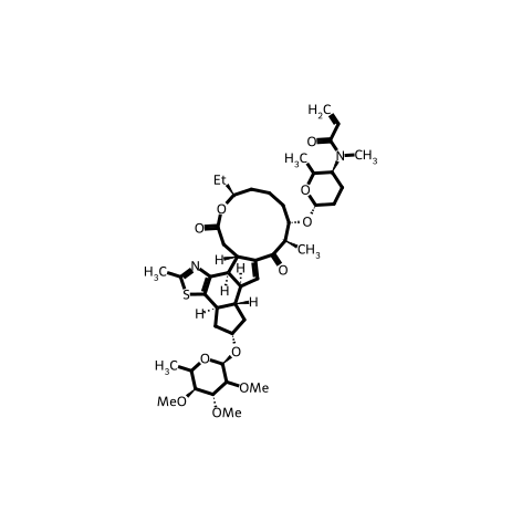 C=CC(=O)N(C)[C@H]1CC[C@H](O[C@H]2CCC[C@H](CC)OC(=O)C[C@@H]3C(=C[C@H]4[C@@H]5C[C@H](O[C@@H]6OC(C)[C@H](OC)[C@@H](OC)C6OC)C[C@H]5c5sc(C)nc5[C@H]43)C(=O)[C@@H]2C)OC1C